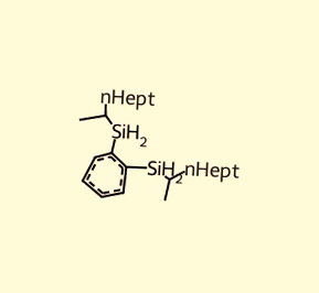 CCCCCCCC(C)[SiH2]c1ccccc1[SiH2]C(C)CCCCCCC